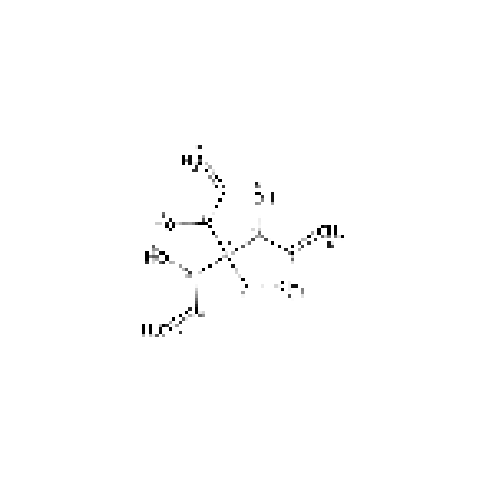 C=CC(O)C(CC)(C(O)C=C)C(O)C=C